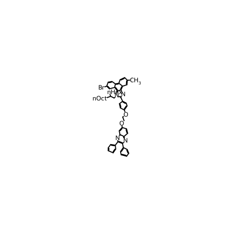 CCCCCCCCC(CCCCCC)Cn1c(-c2ccc(OCCOc3ccc4nc(-c5ccccc5)c(-c5ccccc5)nc4c3)cc2)nc2c3cc(C)ccc3c3ccc(Br)cc3c21